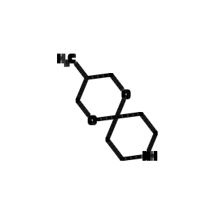 CC1COC2(CCNCC2)OC1